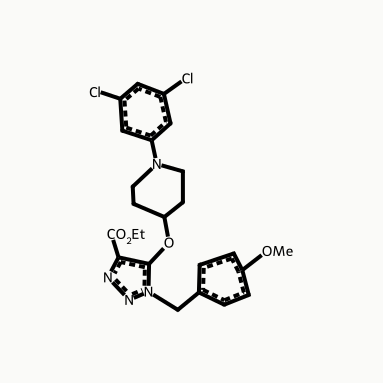 CCOC(=O)c1nnn(Cc2ccc(OC)cc2)c1OC1CCN(c2cc(Cl)cc(Cl)c2)CC1